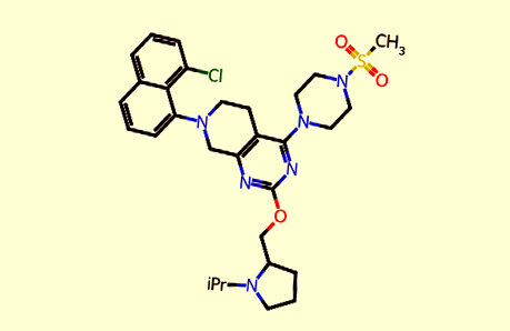 CC(C)N1CCCC1COc1nc2c(c(N3CCN(S(C)(=O)=O)CC3)n1)CCN(c1cccc3cccc(Cl)c13)C2